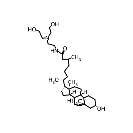 CC(CCC[C@@H](C)[C@H]1CC[C@H]2[C@@H]3CC=C4C[C@@H](O)CC[C@]4(C)[C@H]3CC[C@]12C)CC(=O)NCCN(CCO)CCO